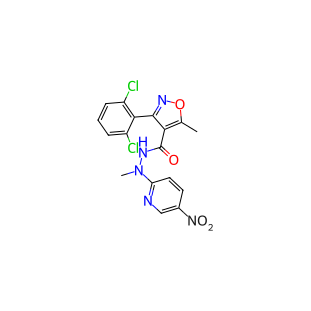 Cc1onc(-c2c(Cl)cccc2Cl)c1C(=O)NN(C)c1ccc([N+](=O)[O-])cn1